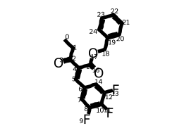 CCC(=O)C(=Cc1cc(F)c(F)c(F)c1)C(=O)OCc1ccccc1